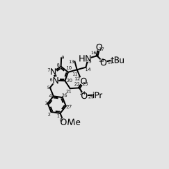 COc1ccc(Cn2nc(C)c(C(C)(C)CNC(=O)OC(C)(C)C)c2CC(=O)OC(C)C)cc1